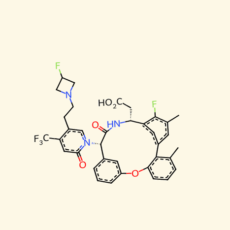 Cc1cc2cc(c1F)[C@@H](CC(=O)O)NC(=O)[C@@H](n1cc(CCN3CC(F)C3)c(C(F)(F)F)cc1=O)c1cccc(c1)Oc1cccc(C)c1-2